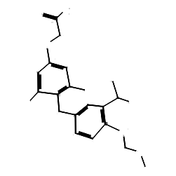 COCOc1ccc(Cc2c(C)cc(OCC(=O)O)cc2C)cc1C(C)C